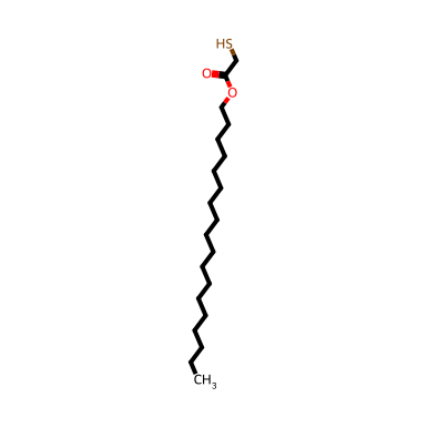 CCCCCCCCCCCCCCCCCCOC(=O)CS